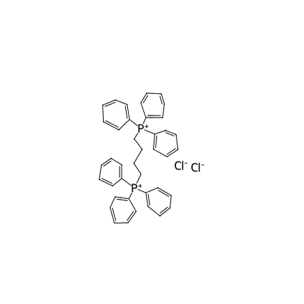 [Cl-].[Cl-].c1ccc([P+](CCCC[P+](c2ccccc2)(c2ccccc2)c2ccccc2)(c2ccccc2)c2ccccc2)cc1